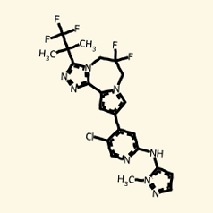 Cn1nccc1Nc1cc(-c2cc3n(c2)CC(F)(F)Cn2c-3nnc2C(C)(C)C(F)(F)F)c(Cl)cn1